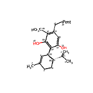 C=C(C)[C@@H]1CCC(C)=C[C@H]1c1c(O)cc(CC(C)CCC)c(C(=O)O)c1O